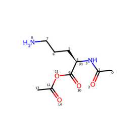 CC(=O)N[C@H](CCCN)C(=O)OC(C)=O